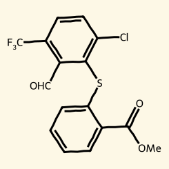 COC(=O)c1ccccc1Sc1c(Cl)ccc(C(F)(F)F)c1C=O